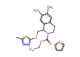 CC(=O)Oc1cc2c(cc1OC(C)=O)C(CSc1nnc(C)s1)N(C(=O)OCC(Cl)(Cl)Cl)CC2.c1ccsc1